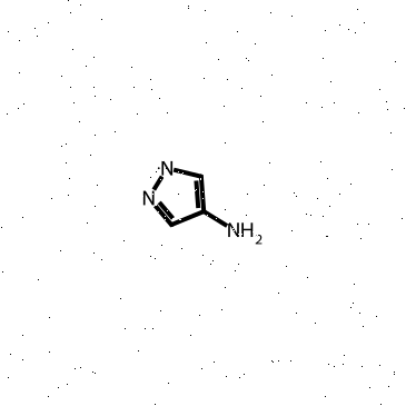 NC1=C[N]N=C1